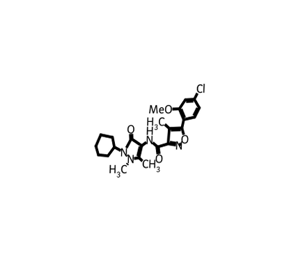 COc1cc(Cl)ccc1-c1onc(C(=O)Nc2c(C)n(C)n(C3CCCCC3)c2=O)c1C